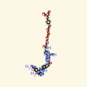 C=N/C=C(\C=N/CCN(CCNC)c1ncc(CNC(=O)CCOCCOCCOCCOCCOC2CCC(CCC(CC=O)OC=O)CC2)cn1)C(=O)N1CCc2cc(CNc3ncnc(N)c3C(=N)c3ccc4oc(N)nc4c3)ccc2C1